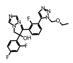 C=C(c1cccc(-c2cnnn2COCC)c1F)C(O)(Cn1cncn1)c1ccc(F)cc1F